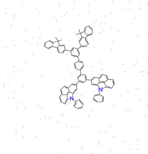 CC1(C)c2ccccc2-c2ccc(-c3cc(-c4ccc(-c5cc(-c6cc7ccc8cccc9c8c7c(c6)n9-c6ccccc6)cc(-c6cc7ccc8cccc9c8c7c(c6)n9-c6ccccc6)c5)cc4)cc(-c4ccc5c(c4)C(C)(C)c4ccccc4-5)c3)cc21